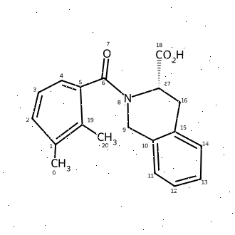 Cc1cccc(C(=O)N2Cc3ccccc3C[C@H]2C(=O)O)c1C